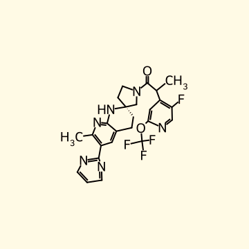 Cc1nc2c(cc1-c1ncccn1)CC[C@@]1(CCN(C(=O)C(C)c3cc(OC(F)(F)F)ncc3F)C1)N2